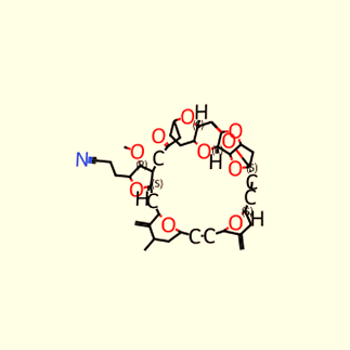 C=C1C[C@@H]2CC[C@@]34CC5OC6C(O3)[C@H]3OC(CCC3O[C@H]6C5O4)CC(=O)CC3[C@@H](OC)C(CCC#N)O[C@H]3CC3OC(CCC1O2)CC(C)C3=C